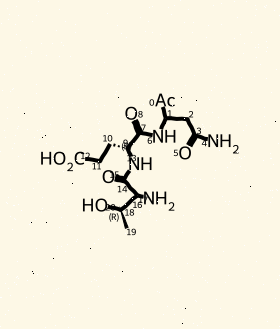 CC(=O)C(CC(N)=O)NC(=O)[C@@H](CCC(=O)O)NC(=O)C(N)[C@@H](C)O